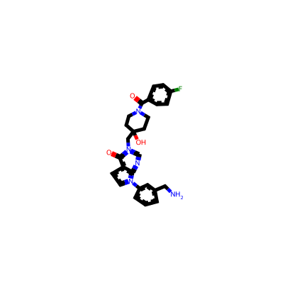 NCc1cccc(-n2ccc3c(=O)n(CC4(O)CCN(C(=O)c5ccc(F)cc5)CC4)cnc32)c1